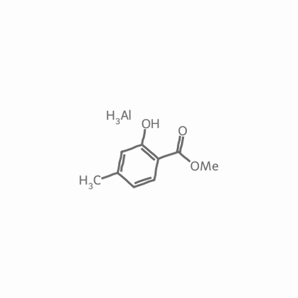 COC(=O)c1ccc(C)cc1O.[AlH3]